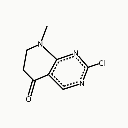 CN1CCC(=O)c2cnc(Cl)nc21